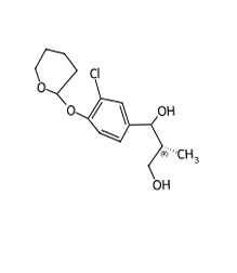 C[C@H](CO)C(O)c1ccc(OC2CCCCO2)c(Cl)c1